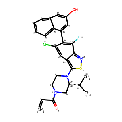 C=CC(=O)N1CCN(c2snc3c(F)c(-c4cc(O)cc5ccccc45)c(Cl)cc23)[C@H](C(C)C)C1